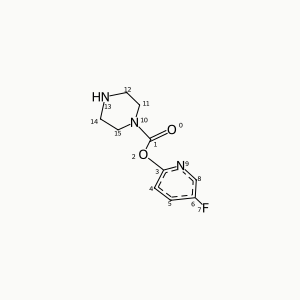 O=C(Oc1ccc(F)cn1)N1CCNCC1